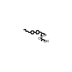 C=C(CO)C(=O)OCC(COC)CC1CCC(C2CCC(CCCCC)CC2)CC1